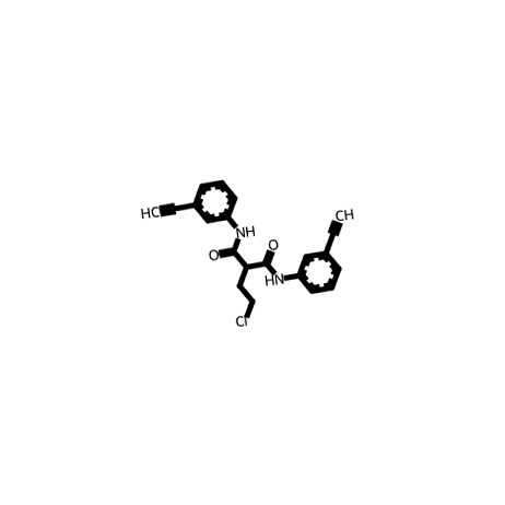 C#Cc1cccc(NC(=O)C(CCCl)C(=O)Nc2cccc(C#C)c2)c1